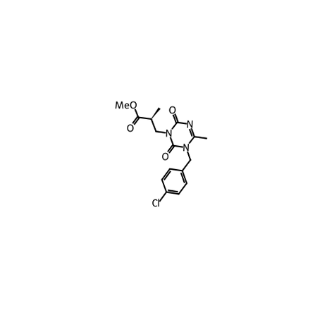 COC(=O)[C@@H](C)Cn1c(=O)nc(C)n(Cc2ccc(Cl)cc2)c1=O